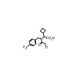 O=C(O)C(C1CCC1)N(Cc1ccc(C(F)(F)F)cc1)C(=O)CCl